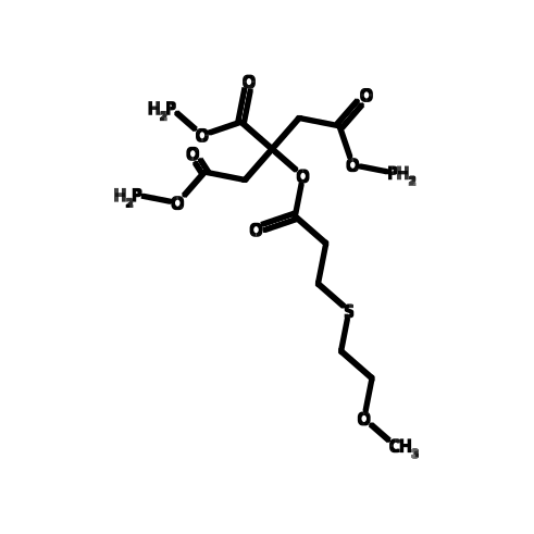 COCCSCCC(=O)OC(CC(=O)OP)(CC(=O)OP)C(=O)OP